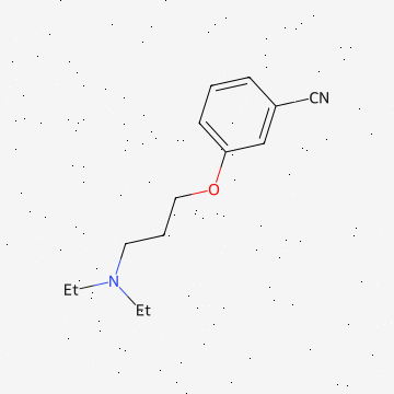 CCN(CC)CCCOc1cccc(C#N)c1